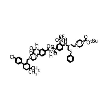 CC1(C)CCC(c2ccc(Cl)cc2)=C(CN2CCN3c4ccc(C(=O)NS(=O)(=O)c5ccc(N[C@H](CCN6CCN(C(=O)OC(C)(C)C)CC6)CSc6ccccc6)c(S(=O)(=O)C(F)(F)F)c5)cc4NC(=O)[C@@H]3C2)C1